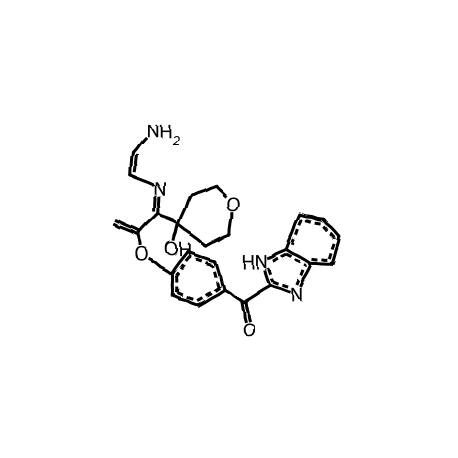 C=C(Oc1ccc(C(=O)c2nc3ccccc3[nH]2)cc1)/C(=N\C=C/N)C1(O)CCOCC1